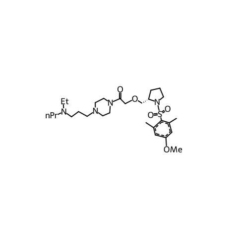 CCCN(CC)CCCN1CCN(C(=O)COC[C@@H]2CCCN2S(=O)(=O)c2c(C)cc(OC)cc2C)CC1